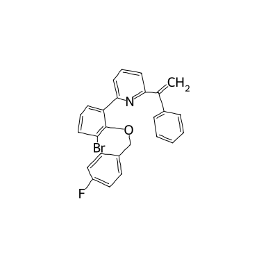 C=C(c1ccccc1)c1cccc(-c2cccc(Br)c2OCc2ccc(F)cc2)n1